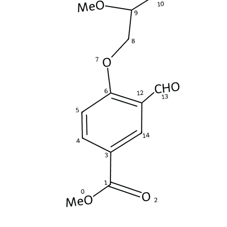 COC(=O)c1ccc(OCC(OC)OC)c(C=O)c1